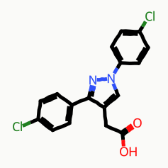 O=C(O)Cc1cn(-c2ccc(Cl)cc2)nc1-c1ccc(Cl)cc1